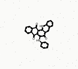 O=C1c2ccccc2C(=O)c2c1c1[nH]c3ccccc3cc-1c(=O)c2Nc1ccccc1